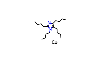 CCCCc1nc(CCCC)n(CCCC)c1CCCC.[Cu]